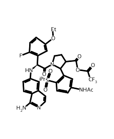 CCOc1ccc(F)c([C@H](Nc2ccc3c(N)nccc3c2)C(=O)N2CCC(C(=O)OC(=O)C(F)(F)F)C2c2cc(NC(C)=O)ccc2S(=O)(=O)C(C)C)c1